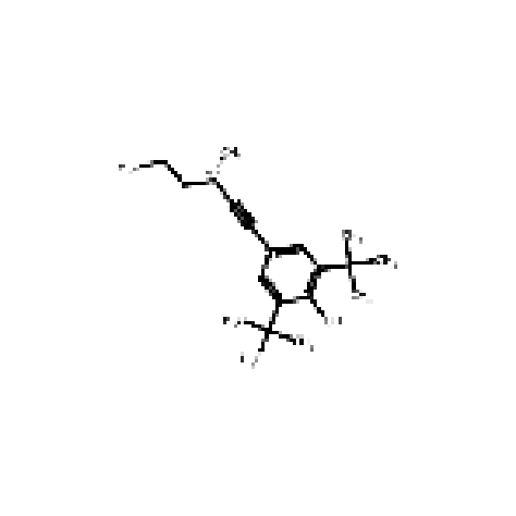 CCC[C@H](C)C#Cc1cc(C(C)(C)C)c(O)c(C(C)(C)C)c1